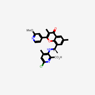 COc1cc(-c2oc3c([C@@H](C)Nc4c(C)cc(Cl)nc4C(=O)O)cc(C)cc3c(=O)c2C)ccn1